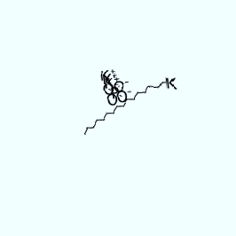 CCCCCCCCCCCCCCC[CH2][K].O=P([O-])([O-])[O-].[K+].[K+].[K+]